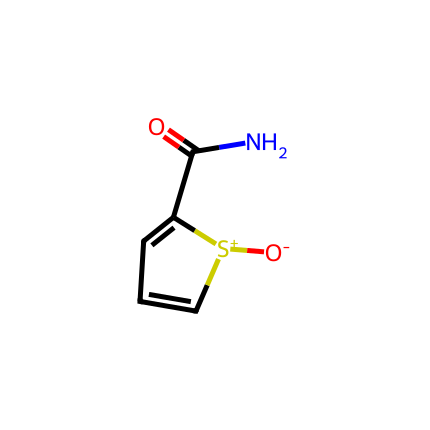 NC(=O)c1ccc[s+]1[O-]